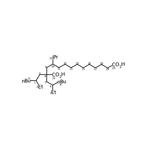 CCCCC(CC)CC(CC(CC)CCCC)(CC(CCCCCCCCCC(=O)O)C(C)C)C(=O)O